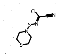 N#CC(Cl)=NSN1CCSCC1